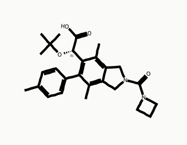 Cc1ccc(-c2c(C)c3c(c(C)c2[C@H](OC(C)(C)C)C(=O)O)CN(C(=O)N2CCC2)C3)cc1